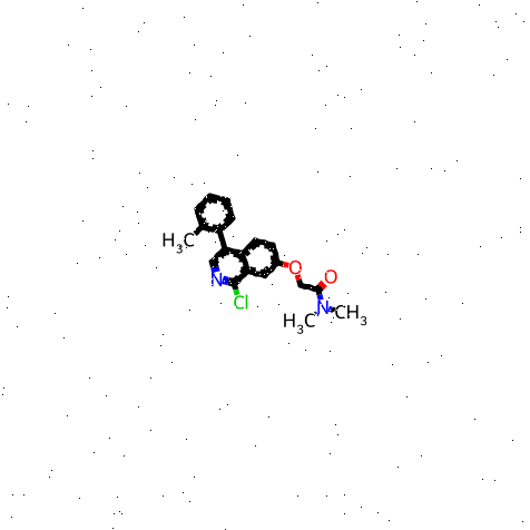 Cc1ccccc1-c1cnc(Cl)c2cc(OCC(=O)N(C)C)ccc12